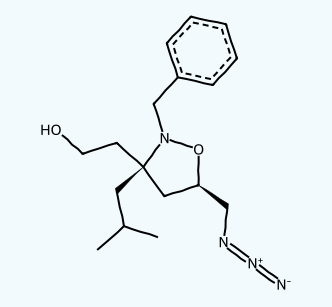 CC(C)C[C@]1(CCO)C[C@H](CN=[N+]=[N-])ON1Cc1ccccc1